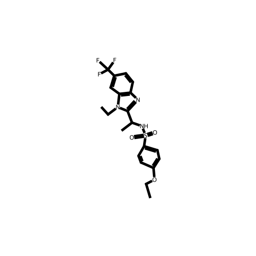 CCOc1ccc(S(=O)(=O)NC(C)c2nc3ccc(C(F)(F)F)cc3n2CC)cc1